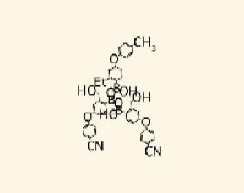 CCc1cc(Oc2ccc(C)cc2)ccc1B(O)OB(OB(O)c1ccc(Oc2ccc(C#N)cc2)cc1CO)c1ccc(Oc2ccc(C#N)cc2)cc1CO